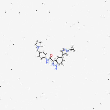 O=C(Nc1ccc(CN2CCCC2)cc1)c1n[nH]c2ccc(-c3cnn(C4CC4)c3)cc12